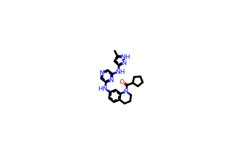 Cc1cc(Nc2cncc(Nc3ccc4c(c3)N(C(=O)C3CCCC3)CCC4)n2)n[nH]1